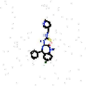 CN1C(=O)C(NC(=S)NCc2cccnc2)N=C(c2ccccc2)c2cc(Cl)ccc21